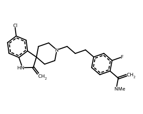 C=C(NC)c1ccc(CCCN2CCC3(CC2)C(=C)Nc2ccc(Cl)cc23)cc1F